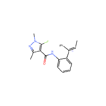 C/C=C(/c1ccccc1NC(=O)c1c(C)nn(C)c1F)C(C)C